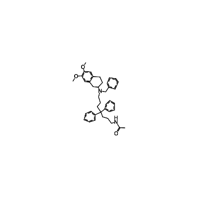 COc1cc2c(cc1OC)CC(N(CCCC(CCCNC(C)=O)(c1ccccc1)c1ccccc1)Cc1ccccc1)CC2